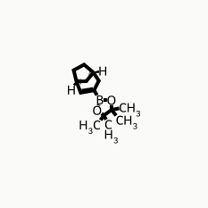 CC1(C)OB(C2=C[C@@H]3CC[C@H](C2)C3)OC1(C)C